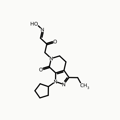 CCc1nn(C2CCCC2)c2c1CCN(CC(=O)C=NO)C2=O